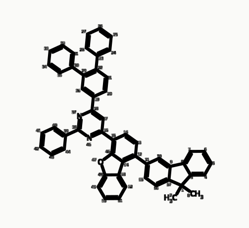 CC1(C)c2ccccc2-c2cc(-c3ccc(-c4cc(-c5ccc(-c6ccccc6)c(-c6ccccc6)c5)nc(-c5ccccc5)n4)c4oc5ccccc5c34)ccc21